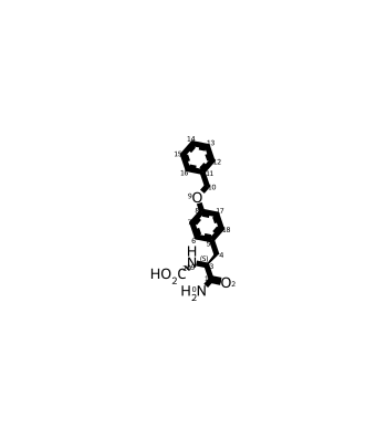 NC(=O)[C@H](Cc1ccc(OCc2ccccc2)cc1)NC(=O)O